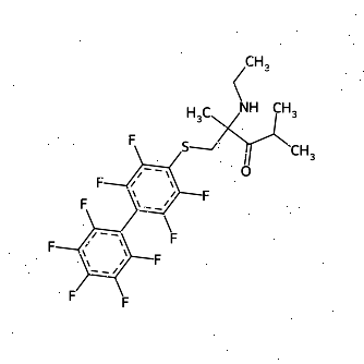 CCNC(C)(CSc1c(F)c(F)c(-c2c(F)c(F)c(F)c(F)c2F)c(F)c1F)C(=O)C(C)C